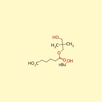 CC(C)(CO)COC(=O)CCCCC(=O)O.CCCCO